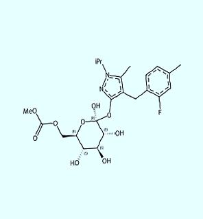 COC(=O)OC[C@H]1O[C@@](O)(Oc2nn(C(C)C)c(C)c2Cc2ccc(C)cc2F)[C@H](O)[C@@H](O)[C@@H]1O